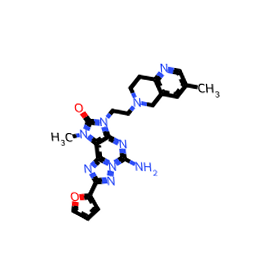 Cc1cnc2c(c1)CN(CCn1c(=O)n(C)c3c1nc(N)n1nc(-c4ccco4)nc31)CC2